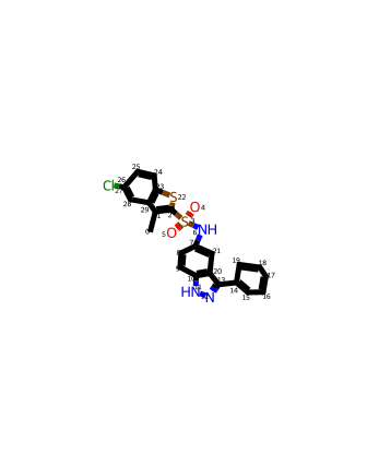 Cc1c(S(=O)(=O)Nc2ccc3[nH]nc(-c4ccccc4)c3c2)sc2ccc(Cl)cc12